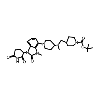 CN(CC1CCN(C(=O)OC(C)(C)C)CC1)C1CCN(c2cccc3c2n(C)c(=O)n3C2CCC(=O)NC2=O)CC1